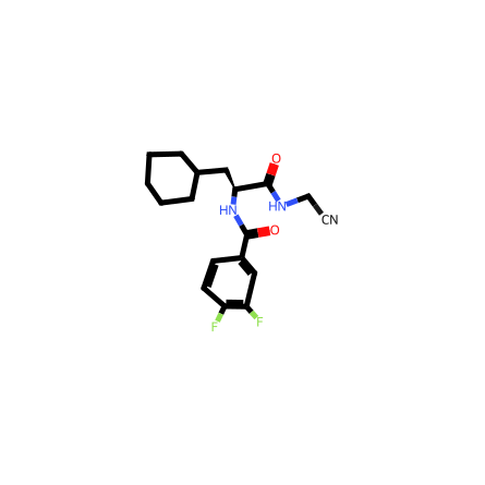 N#CCNC(=O)[C@H](CC1CCCCC1)NC(=O)c1ccc(F)c(F)c1